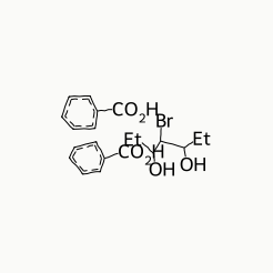 CCC(O)C(Br)C(O)CC.O=C(O)c1ccccc1.O=C(O)c1ccccc1